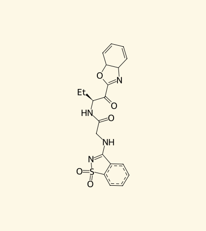 CC[C@H](NC(=O)CNC1=NS(=O)(=O)c2ccccc21)C(=O)C1=NC2C=CC=CC2O1